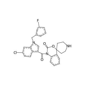 O=C1OC2(CCNCC2)c2ccccc2N1C(=O)c1cn(Cc2cccc(F)c2)c2cc(Cl)ccc12